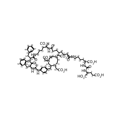 O=C(O)CC[C@H](NC(=O)N[C@@H](CCCCNC(=O)CCCCCCC(=O)NC(CCCCNC(=O)C(Cc1ccccc1)NC(=O)C(Cc1ccccc1)NC(=S)Nc1ccc(CC2CN(CC(=O)O)CCN(CC(=O)O)CCN2CC(=O)O)cc1)C(=O)O)C(=O)O)C(=O)O